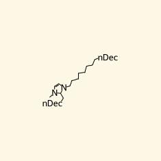 CCCCCCCCCCCCCCCCCCN1C=CN(C)C1CCCCCCCCCCC